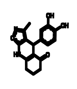 Cc1noc2c1C(c1ccc(O)c(O)c1)C1=C(CCCC1=O)N2